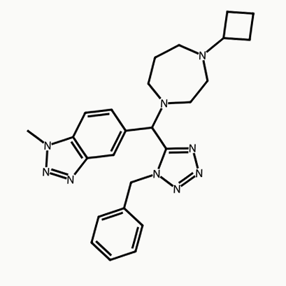 Cn1nnc2cc(C(c3nnnn3Cc3ccccc3)N3CCCN(C4CCC4)CC3)ccc21